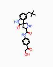 CC(C)(C)Cc1ccc2c(c1)C1(CNC(C(=O)Nc3ccc(C(=O)CO)cc3)C1)C(=O)N2